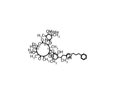 CC[C@H]1OC(=O)[C@H](C)[C@@H](O[C@H]2C[C@@](C)(OC)[C@@H](O)[C@H](C)O2)[C@H](C)[C@@H](O[C@@H]2O[C@H](C)C[C@H](C(C)Cc3cn(CCCc4ccccc4)nn3)[C@H]2O)[C@](C)(O)C[C@@H](C)C(=O)[C@H](C)[C@@H](O)[C@]1(C)O